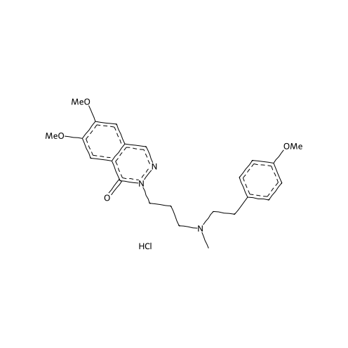 COc1ccc(CCN(C)CCCn2ncc3cc(OC)c(OC)cc3c2=O)cc1.Cl